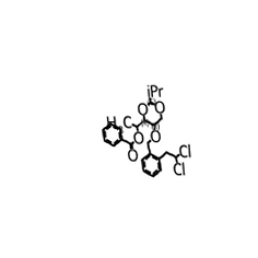 CC(C)[C@H]1OC[C@@H](OCc2ccccc2CC(Cl)Cl)[C@@H](C(C)OC(=O)c2ccccc2)O1